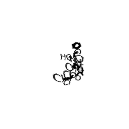 CC1=C(C(=O)OCC(Cl)(Cl)Cl)N2C(=O)C(N(O)C(=O)COc3ccccc3)[C@H]2SC1